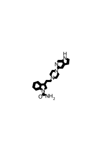 NC(=O)N1CC(CCN2CCN(c3cc4cc[nH]c4cn3)CC2)c2ccccc21